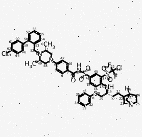 C[C@@H]1CN(c2ccc(C(=O)NS(=O)(=O)c3ccc(N[C@H](CCC4C[N@]5CC[C@@H]4C5)CSc4ccccc4)c(S(=O)(=O)C(F)(F)Cl)c3)cc2)C[C@H](C)N1Cc1ccccc1-c1ccc(Cl)cc1